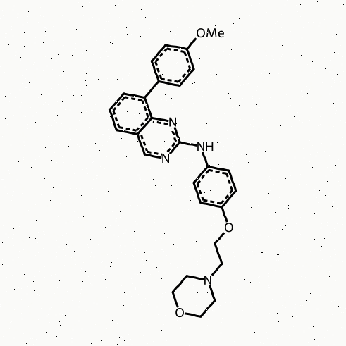 COc1ccc(-c2cccc3cnc(Nc4ccc(OCCN5CCOCC5)cc4)nc23)cc1